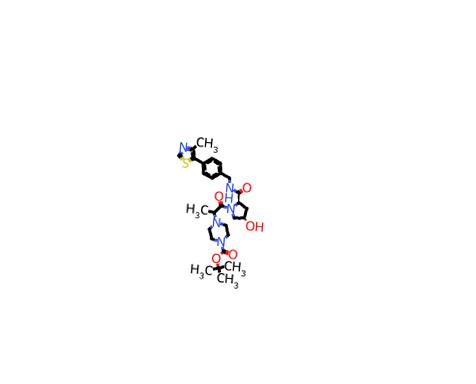 Cc1ncsc1-c1ccc(CNC(=O)[C@H]2C[C@@H](O)CN2C(=O)C(C)N2CCN(C(=O)OC(C)(C)C)CC2)cc1